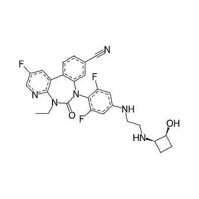 CCN1C(=O)N(c2c(F)cc(NCCN[C@@H]3CC[C@@H]3O)cc2F)c2cc(C#N)ccc2-c2cc(F)cnc21